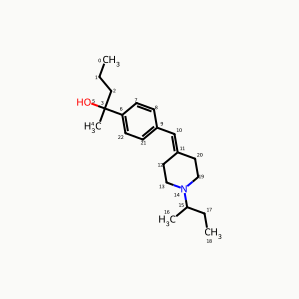 CCCC(C)(O)c1ccc(C=C2CCN(C(C)CC)CC2)cc1